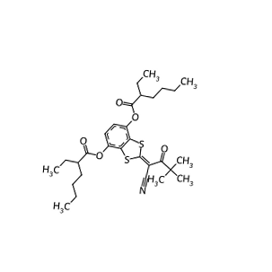 CCCCC(CC)C(=O)Oc1ccc(OC(=O)C(CC)CCCC)c2c1SC(=C(C#N)C(=O)C(C)(C)C)S2